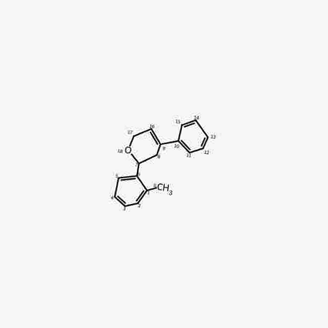 Cc1ccccc1C1CC(c2ccccc2)=CCO1